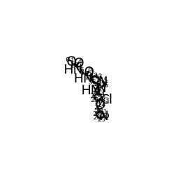 COCC(=O)NCCC(=O)Nc1ccc2ncnc(Nc3ccc(OCc4cccnc4)c(Cl)c3)c2c1